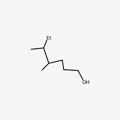 CCC(C)C(C)CCCO